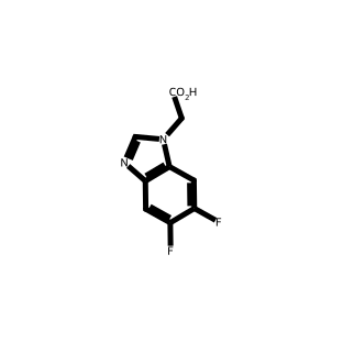 O=C(O)Cn1cnc2cc(F)c(F)cc21